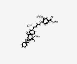 CCCCN1C(=O)[C@@H](CC2(O)CCCCC2)NC(=O)C12CCN(CCCCOc1ccc(C(=O)NC)cc1OC)CC2.Cl